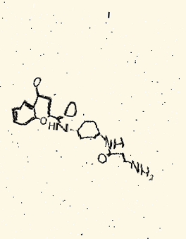 NCCC(=O)N[C@H]1CC[C@H](NC(=O)c2cc(=O)c3ccccc3o2)CC1